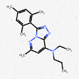 CCCN(CC)c1cc(C)nn2c(-c3c(C)cc(C)cc3C)nnc12